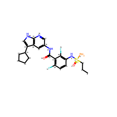 CCC[SH](=O)(P)Nc1ccc(F)c(C(=O)Nc2cnc3[nH]cc(C4CCCC4)c3c2)c1F